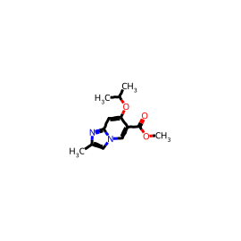 COC(=O)c1cn2cc(C)nc2cc1OC(C)C